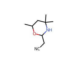 CC1CC(C)(C)NC(CC#N)O1